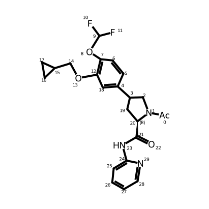 CC(=O)N1CC(c2ccc(OC(F)F)c(OCC3CC3)c2)C[C@@H]1C(=O)Nc1ccccn1